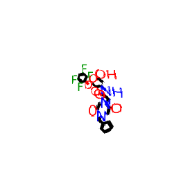 O=C(O)C[C@H](NC(=O)CN1CC(=O)N(Cc2ccccc2)CC1=O)C(=O)COc1c(F)c(F)cc(F)c1F